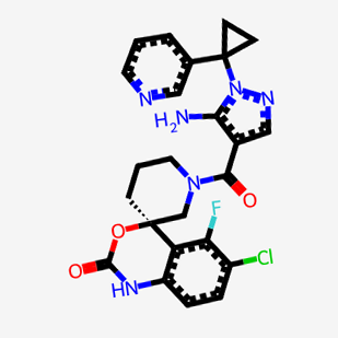 Nc1c(C(=O)N2CCC[C@@]3(C2)OC(=O)Nc2ccc(Cl)c(F)c23)cnn1C1(c2cccnc2)CC1